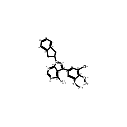 CCOc1cc(-c2nn(C3Cc4ccccc4C3)c3ncnc(N)c23)cc(Cl)c1OC(C)C